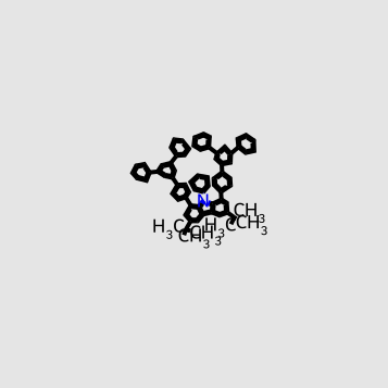 CC(C)(C)c1cc(-c2ccc(-c3cc(-c4ccccc4)cc(-c4ccccc4)c3)cc2)c2c(c1)c1cc(C(C)(C)C)cc(-c3ccc(-c4cc(-c5ccccc5)cc(-c5ccccc5)c4)cc3)c1n2-c1ccccc1